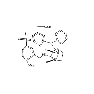 COc1ccc(S(C)(=O)=O)cc1CN[C@H]1C2CCN(CC2)[C@H]1C(c1ccccc1)c1ccccc1.CS(=O)(=O)O